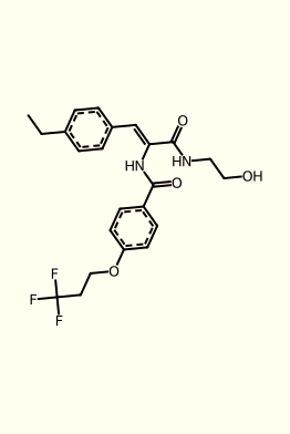 CCc1ccc(/C=C(\NC(=O)c2ccc(OCCC(F)(F)F)cc2)C(=O)NCCO)cc1